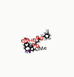 COC1=CC23CCCN2CCc2cc4c(cc2[C@@H]3C1OC(=O)[C@H](O)CC(=O)OCc1cccc(C)c1)OCO4